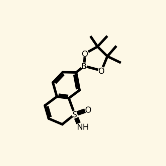 CC1(C)OB(c2ccc3c(c2)S(=N)(=O)CC=C3)OC1(C)C